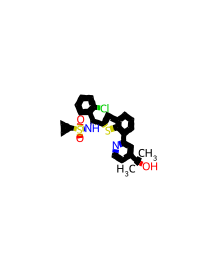 CC(C)(O)c1ccnc(-c2cccc3cc([C@H](NS(=O)(=O)C4CC4)c4ccccc4Cl)sc23)c1